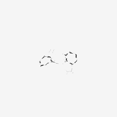 Cc1cccc2c1B(c1ccccc1)CC2